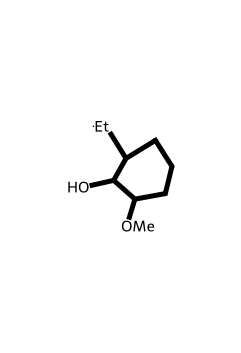 C[CH]C1CCCC(OC)C1O